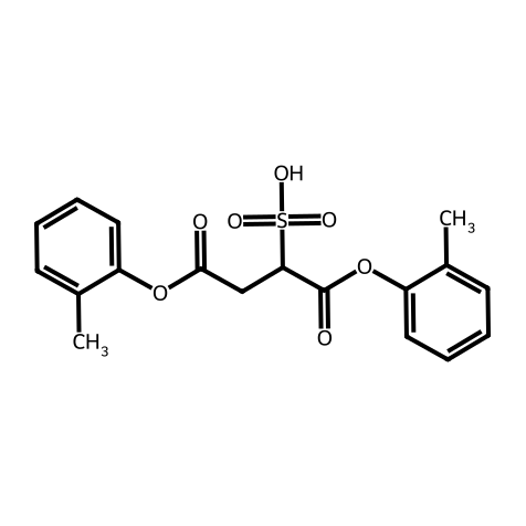 Cc1ccccc1OC(=O)CC(C(=O)Oc1ccccc1C)S(=O)(=O)O